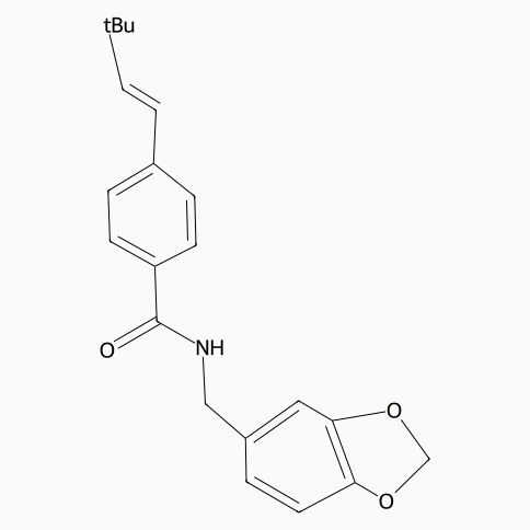 CC(C)(C)/C=C/c1ccc(C(=O)NCc2ccc3c(c2)OCO3)cc1